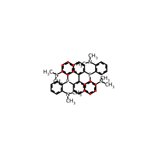 CN(C)c1ccccc1P(c1ccccc1N(C)C)c1ccc2ccccc2c1-c1c(P(c2ccccc2N(C)C)c2ccccc2N(C)C)ccc2ccccc12